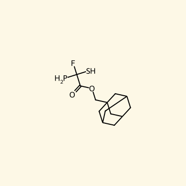 O=C(OCC12CC3CC(CC(C3)C1)C2)C(F)(P)S